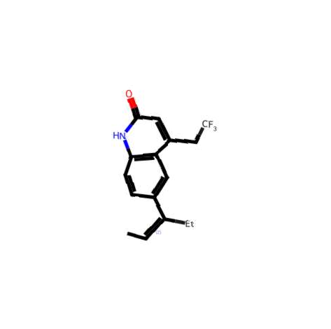 C/C=C(/CC)c1ccc2[nH]c(=O)cc(CC(F)(F)F)c2c1